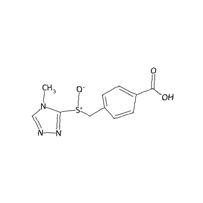 Cn1cnnc1[S+]([O-])Cc1ccc(C(=O)O)cc1